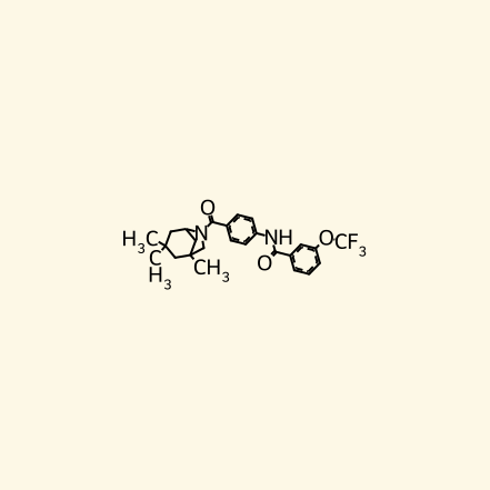 CC1(C)CC2CC(C)(CN2C(=O)c2ccc(NC(=O)c3cccc(OC(F)(F)F)c3)cc2)C1